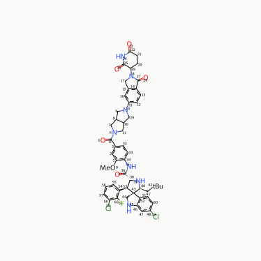 COc1cc(C(=O)N2CC3CN(c4ccc5c(c4)CN(C4CCC(=O)NC4=O)C5=O)CC3C2)ccc1NC(=O)[C@@H]1N[C@@H](CC(C)(C)C)[C@@]2(CNc3cc(Cl)ccc32)[C@H]1c1cccc(Cl)c1F